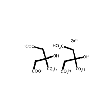 O=C(O)CC(O)(CC(=O)O)C(=O)O.O=C([O-])CC(O)(CC(=O)[O-])C(=O)O.[Zn+2]